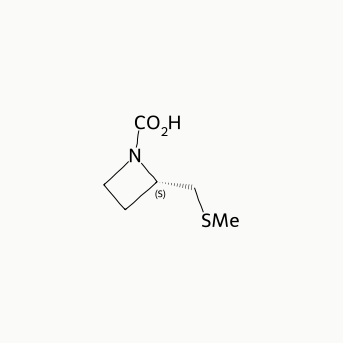 CSC[C@@H]1CCN1C(=O)O